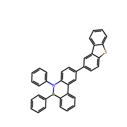 c1ccc(B2c3ccccc3-c3cc(-c4ccc5sc6ccccc6c5c4)ccc3N2c2ccccc2)cc1